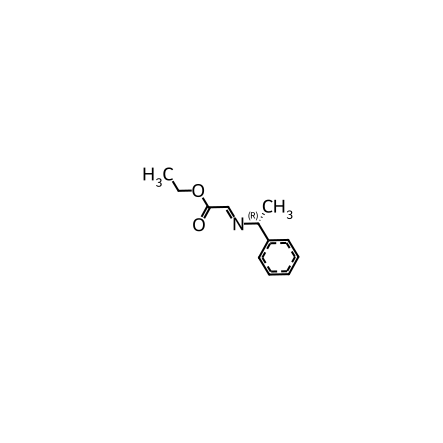 CCOC(=O)C=N[C@H](C)c1ccccc1